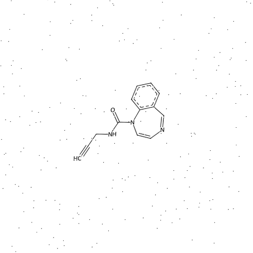 C#CCNC(=O)N1C=CN=Cc2ccccc21